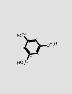 CC(=O)Oc1cc(C(=O)O)cc(C(=O)O)c1